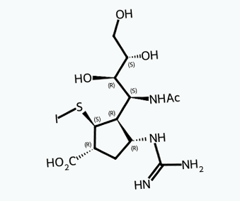 CC(=O)N[C@H]([C@@H](O)[C@@H](O)CO)[C@@H]1[C@H](SI)[C@@H](C(=O)O)C[C@H]1NC(=N)N